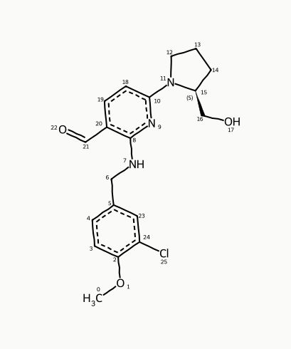 COc1ccc(CNc2nc(N3CCC[C@H]3CO)ccc2C=O)cc1Cl